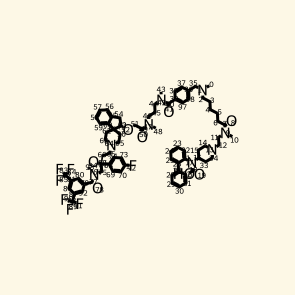 CN(CCCCCC(=O)N(C)CCN1CCC(N(C(=O)O)c2ccccc2-c2ccccc2)CC1)Cc1ccc(C(=O)N(C)CCCN(C)C(=O)CO[C@H]2Cc3ccccc3C23CCN(CC[C@@]2(c4ccc(F)cc4)CN(C(=O)c4cc(C(F)(F)F)cc(C(F)(F)F)c4)CO2)CC3)cc1